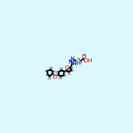 O=C(O)CSc1nnc(-c2ccc(-c3ccc(Oc4ccccc4)cc3)o2)[nH]1